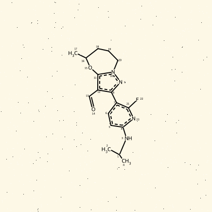 CC(C)Nc1ccc(-c2nn3c(c2C=O)OC(C)CCC3)c(F)n1